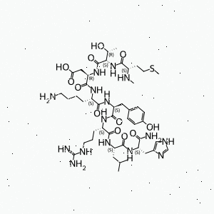 CN[C@@H](CCSC)C(=O)N[C@H](C(=O)N[C@H](CC(=O)O)C(=O)N[C@@H](CCCCN)C(=O)N[C@@H](Cc1ccc(O)cc1)C(=O)N[C@@H](CCCNC(=N)N)C(=O)N[C@@H](CC(C)C)C(=O)N[C@@H](Cc1c[nH]cn1)C(N)=O)[C@@H](C)O